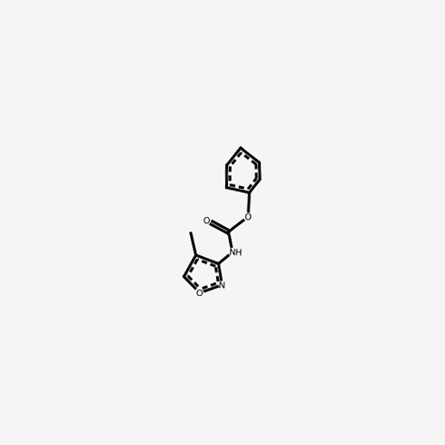 Cc1conc1NC(=O)Oc1ccccc1